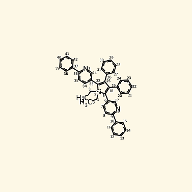 CC[Si]1(CC)C(c2ccc(-c3ccccc3)nc2)=C(c2ccccc2)C(c2ccccc2)=C1c1ccc(-c2ccccc2)nc1